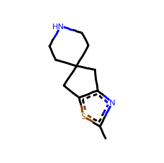 Cc1nc2c(s1)CC1(CCNCC1)C2